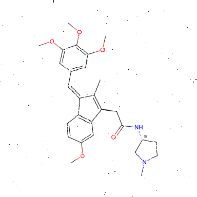 COc1ccc2c(c1)C(CC(=O)N[C@@H]1CCN(C)C1)=C(C)C2=Cc1cc(OC)c(OC)c(OC)c1